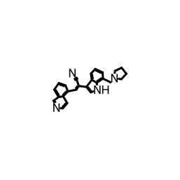 N#C/C(=C\c1cccc2cnccc12)c1c[nH]c2c(CN3CCCC3)cccc12